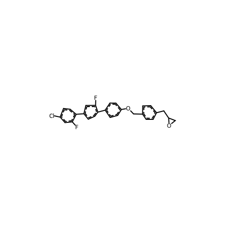 Fc1cc(Cl)ccc1-c1ccc(-c2ccc(OCc3ccc(CC4CO4)cc3)cc2)c(F)c1